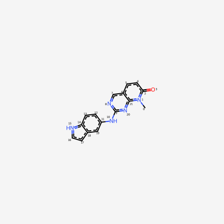 Cn1c(=O)ccc2cnc(Nc3ccc4[nH]ccc4c3)nc21